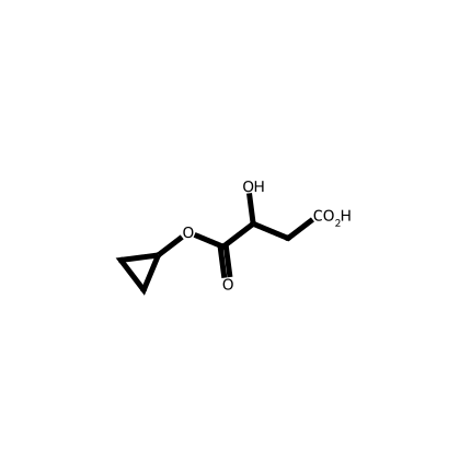 O=C(O)CC(O)C(=O)OC1CC1